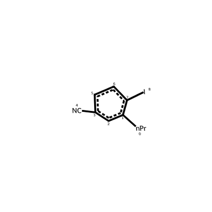 CCCc1cc(C#N)ccc1I